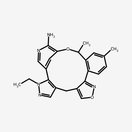 CCn1ncc2c1-c1cnc(N)c(c1)OC(C)c1cc(C)ccc1-c1nocc1C2